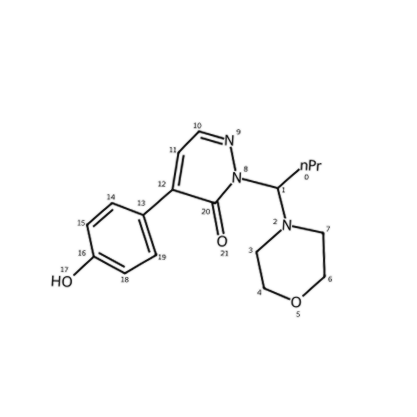 CCCC(N1CCOCC1)n1nccc(-c2ccc(O)cc2)c1=O